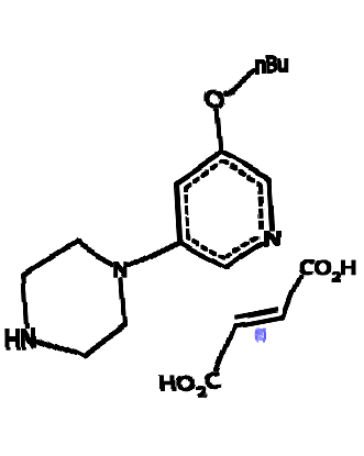 CCCCOc1cncc(N2CCNCC2)c1.O=C(O)/C=C/C(=O)O